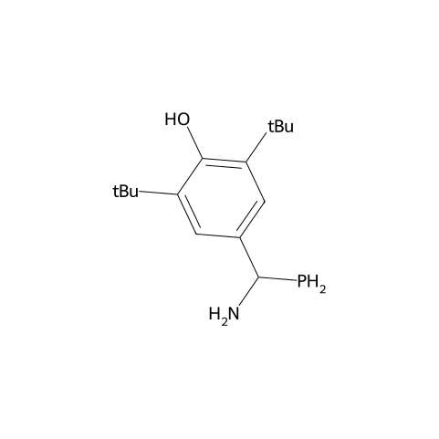 CC(C)(C)c1cc(C(N)P)cc(C(C)(C)C)c1O